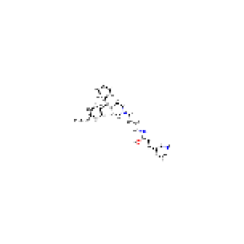 O=C(C=Cc1cccnc1)NCCCCN1CCC(C(c2ccccc2)c2ccc(C(=O)O)cc2)CC1